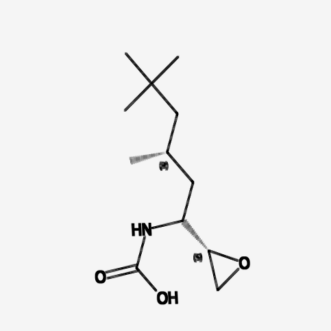 C[C@@H](CC(NC(=O)O)[C@H]1CO1)CC(C)(C)C